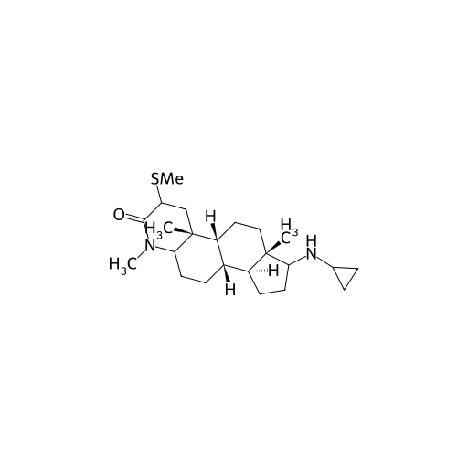 CSC1C[C@@]2(C)C(CC[C@@H]3[C@H]2CC[C@]2(C)C(NC4CC4)CC[C@@H]32)N(C)C1=O